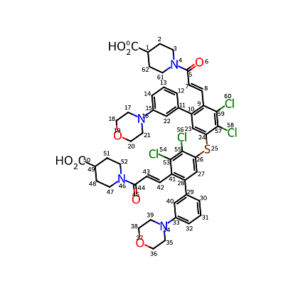 O=C(O)C1CCN(C(=O)/C=C/c2c(-c3cccc(N4CCOCC4)c3)cc(Sc3cc(-c4cccc(N5CCOCC5)c4)c(/C=C/C(=O)N4CCC(C(=O)O)CC4)c(Cl)c3Cl)c(Cl)c2Cl)CC1